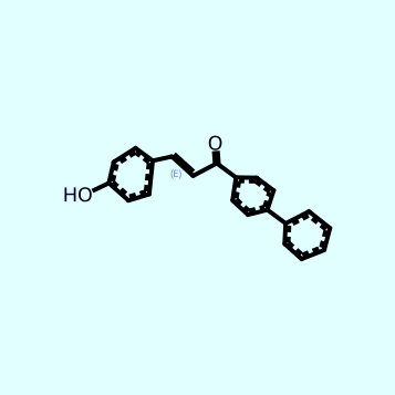 O=C(/C=C/c1ccc(O)cc1)c1ccc(-c2ccccc2)cc1